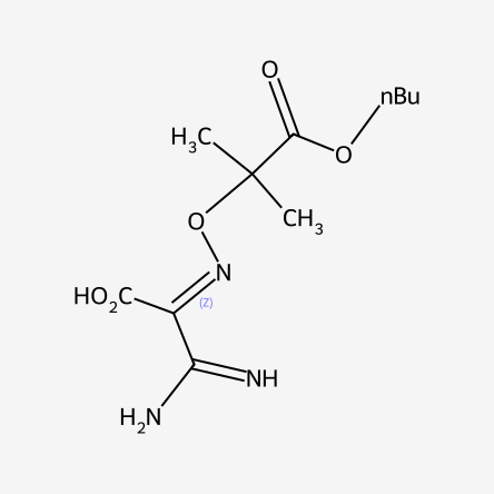 CCCCOC(=O)C(C)(C)O/N=C(/C(=N)N)C(=O)O